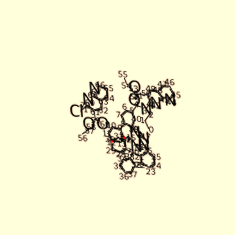 CCCN(Cc1ccc(-c2ccccc2-c2nnnn2C(c2ccccc2)(c2ccccc2)c2ccccc2)cc1)c1nc2ncccc2cc1C(=O)OCC.CCOC(=O)c1cc2cccnc2nc1Cl